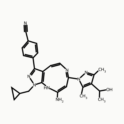 Cc1nn(-c2cc(N)[nH]c3c(ccn2)c(-c2ccc(C#N)cc2)nn3CC2CC2)c(C)c1C(C)O